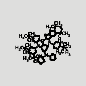 CC(C)(C)c1ccc(N2c3cc(N(c4ccccc4)c4ccccc4)cc4c3B(c3ccc(C(C)(C)C)cc3N4c3cc(C(C)(C)C)cc(C(C)(C)C)c3)c3sc4cc5c(cc4c32)C(C)(C)CCC5(C)C)cc1